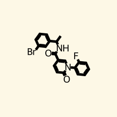 CC(NC(=O)c1ccc(=O)n(-c2ccccc2F)c1)c1cccc(Br)c1